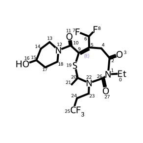 CCN1C(=O)C/C(C(F)F)=C(/C(=O)N2CCC(O)CC2)SC(C)N(CCC(F)(F)F)C1=O